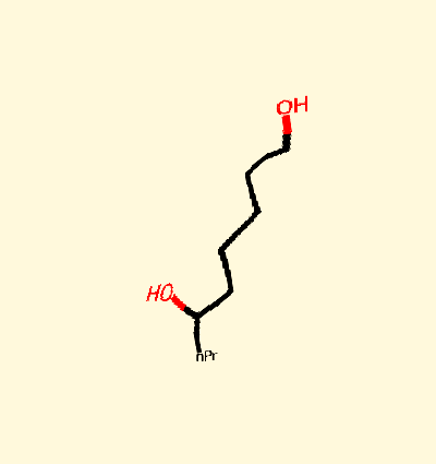 CCCC(O)CCCCCO